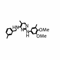 COc1cc(Nc2ncc(C)c(NCc3cccc(C)c3)n2)cc(C)c1OC